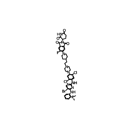 CP(C)c1ccccc1Nc1nc(Nc2cc(Cl)c(N3CCN(CCC4CCN(c5cc6c(cc5F)C(=O)N(C5CCC(=O)NC5=O)C6=O)CC4)CC3)cc2Cl)ncc1Br